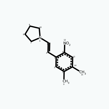 Cc1cc(/C=C/N2CCCC2)c([N+](=O)[O-])cc1C